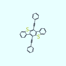 C(#Cc1c2sc3ccccc3c2c(C#Cc2ccccc2)c2sc3ccccc3c12)c1ccccc1